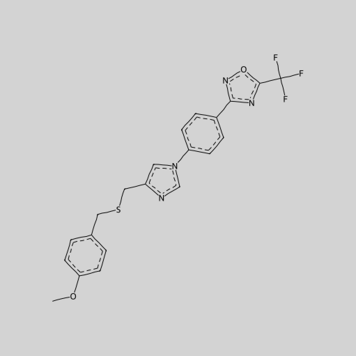 COc1ccc(CSCc2cn(-c3ccc(-c4noc(C(F)(F)F)n4)cc3)cn2)cc1